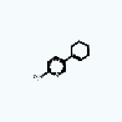 O=[N+]([O-])c1ccc(C2=CCCCC2)cn1